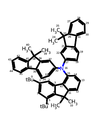 CC(C)(C)c1cc2c(c(C(C)(C)C)c1)C(C)(C)c1cccc(N(c3ccc4c(c3)C(C)(C)c3ccccc3-4)c3ccc4c(c3)C(C)(C)c3ccccc3-4)c1-2